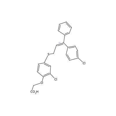 O=C(O)COc1ccc(SC/C=C(/c2ccccc2)c2ccc(Cl)cc2)cc1Cl